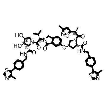 Cc1cc([C@@H](C)C(=O)N2C[C@H](Oc3ccc4c(c3)C(=O)N([C@H](C(=O)N3C[C@H](O)[C@H](O)[C@H]3C(=O)NCc3ccc(-c5scnc5C)cc3)C(C)C)C4)C[C@H]2C(=O)NCc2ccc(-c3scnc3C)cc2)on1